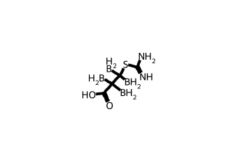 BC(B)(SC(=N)N)C(B)(B)C(=O)O